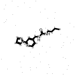 CCCCNC(=O)NCc1ccnc(-n2cccn2)c1